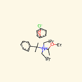 CCOC(C)[N+](CC(C)C)(CC(C)C)C(C)(C)c1ccccc1.[Cl-].c1cc2ccc1o2